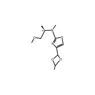 COC[C@@H](C)N(C)c1nc(C2OC(C)O2)co1